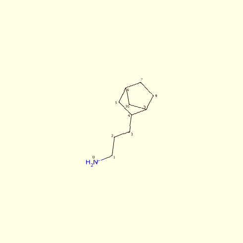 NCCCC1CC2CCC1C2